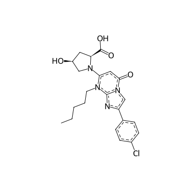 CCCCCn1c(N2C[C@@H](O)C[C@H]2C(=O)O)cc(=O)n2cc(-c3ccc(Cl)cc3)nc12